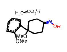 CC(=O)O.COc1ccccc1C1(OC)CCC(=NO)CC1